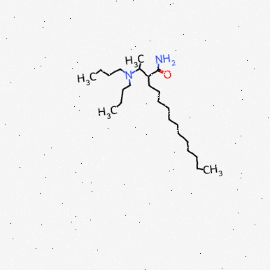 CCCCCCCCCCCCC(C(N)=O)C(C)N(CCCC)CCCC